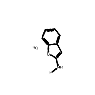 CCNc1cc2ccccc2o1.Cl